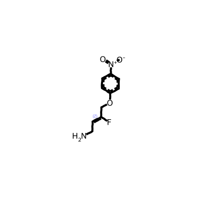 NC/C=C(\F)COc1ccc([N+](=O)[O-])cc1